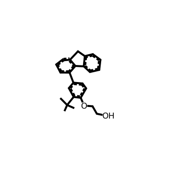 CC(C)(C)c1cc(-c2cccc3c2-c2ccccc2C3)ccc1OCCO